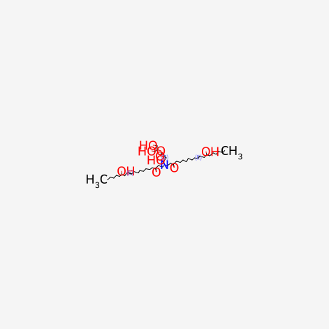 CCCCCCC(O)C/C=C/CCCCCCCC(=O)CCN(CCC(=O)CCCCCCC/C=C/CC(O)CCCCCC)C(O)/C=C\C(=O)OC(CO)CO